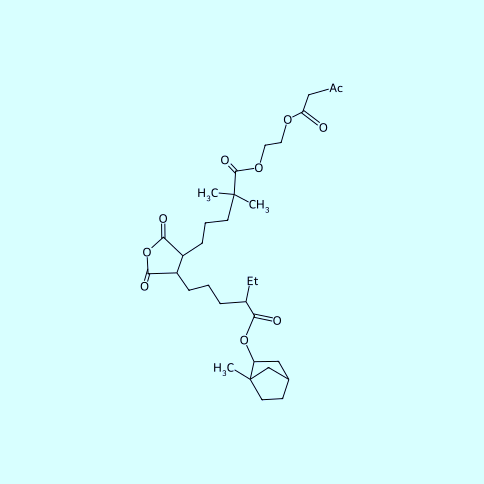 CCC(CCCC1C(=O)OC(=O)C1CCCC(C)(C)C(=O)OCCOC(=O)CC(C)=O)C(=O)OC1CC2CCC1(C)C2